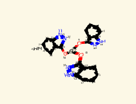 [HH].c1ccc2c(OB(Oc3n[nH]c4ccccc34)Oc3n[nH]c4ccccc34)n[nH]c2c1